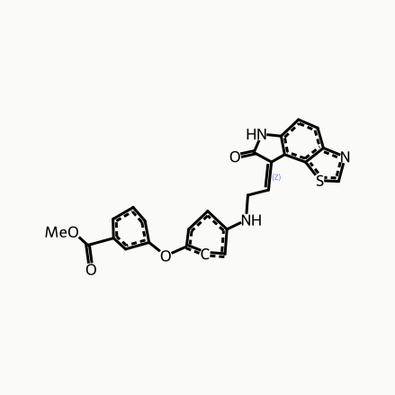 COC(=O)c1cccc(Oc2ccc(NC/C=C3\C(=O)Nc4ccc5ncsc5c43)cc2)c1